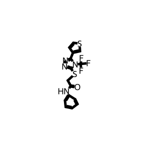 O=C(CSc1nnc(-c2ccsc2)n1C(F)(F)F)Nc1ccccc1